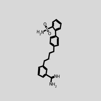 N=C(N)c1cccc(C[CH]CCc2ccc(-c3ccccc3S(N)(=O)=O)cc2)c1